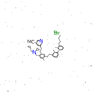 Cc1cc(CN(CC2CC2)C2CC2)c(CCc2cncc(C#N)c2)cc1CCc1cccc(-c2cccc(CCCCBr)c2C)c1C